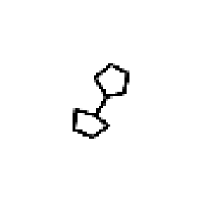 [C]1CCCC1C1CCCC1